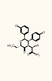 CCC[C@@H](C(N)=O)N1C(=O)[C@H](CC(=O)O)O[C@@H](c2cccc(Cl)c2)[C@H]1c1ccc(Cl)cc1